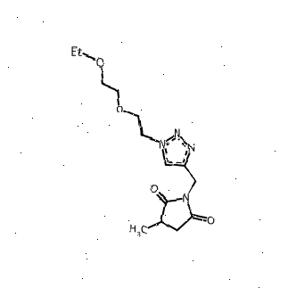 CCOCCOCCn1cc(CN2C(=O)CC(C)C2=O)nn1